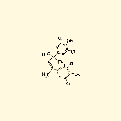 CC(=CC(C)(C)c1cc(Cl)c(O)c(Cl)c1)c1cc(Cl)c(O)c(Cl)c1